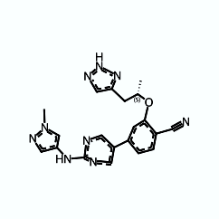 C[C@@H](Cc1cn[nH]n1)Oc1cc(-c2cnc(Nc3cnn(C)c3)nc2)ccc1C#N